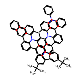 CC(C)(C)c1ccc2c(c1)c1cc(C(C)(C)C)ccc1n2-c1cc2c3c(c1)N(c1c(-c4ccccc4)cccc1-c1ccccc1)c1cc(N(c4ccccc4)c4ccccc4)ccc1B3c1ccc(-c3ccccc3)cc1N2c1c(-c2ccccc2)cccc1-c1ccccc1